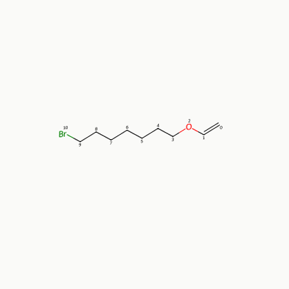 C=COCCCCCCCBr